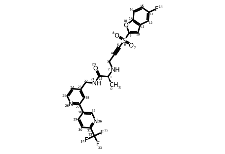 C[C@H](NCC#CS(=O)(=O)c1cc2cc(F)ccc2o1)C(=O)NCc1ccnc(-c2ccc(C(F)(F)F)nc2)c1